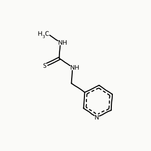 CNC(=S)NCc1cccnc1